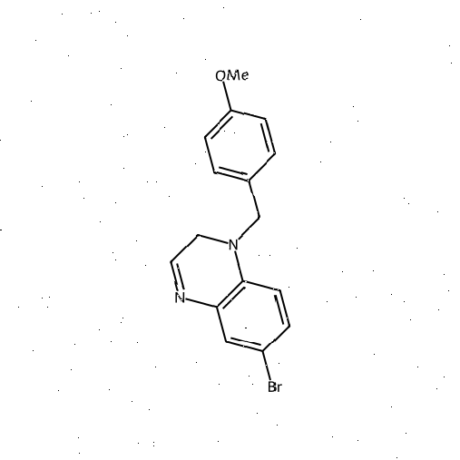 COc1ccc(CN2CC=Nc3cc(Br)ccc32)cc1